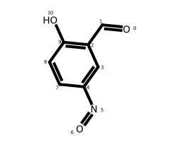 O=Cc1cc(N=O)ccc1O